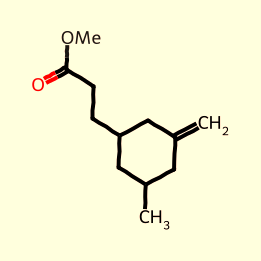 C=C1CC(C)CC(CCC(=O)OC)C1